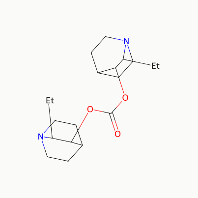 CCC1C(OC(=O)OC2C3CCN(CC3)C2CC)C2CCN1CC2